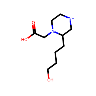 O=C(O)CN1CCNCC1CCCCO